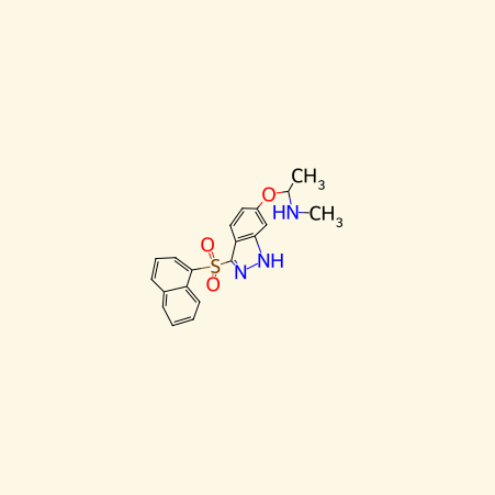 CNC(C)Oc1ccc2c(S(=O)(=O)c3cccc4ccccc34)n[nH]c2c1